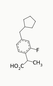 CC(C(=O)O)c1ccc(CC2CCCC2)cc1F